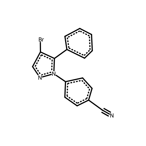 N#Cc1ccc(-n2ncc(Br)c2-c2ccccc2)cc1